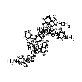 CCCC(CCC)COC(=O)[C@H](Cc1ccccc1)NP(=O)(OC[C@H]1OC[C@@H](n2ccc(N)nc2=O)O1)Oc1ccc(C[C@H](NP(=O)(OC[C@H]2OC[C@@H](n3ccc(N)nc3=O)O2)Oc2cccc3ccccc23)C(=O)OC2CCCCC2)cc1